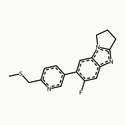 CSCc1ccc(-c2cc3c(cc2F)nc2n3CCC2)cn1